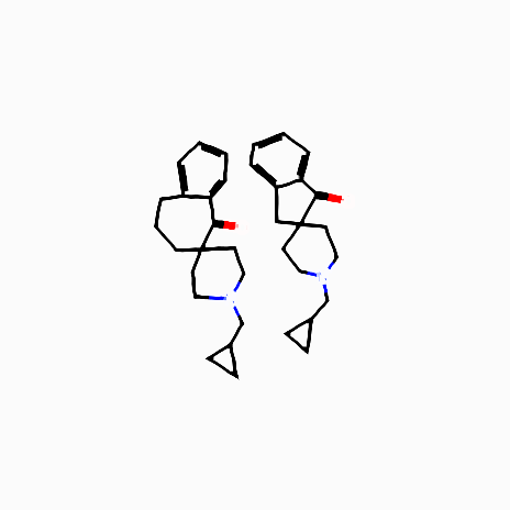 O=C1c2ccccc2CC12CCN(CC1CC1)CC2.O=C1c2ccccc2CCCC12CCN(CC1CC1)CC2